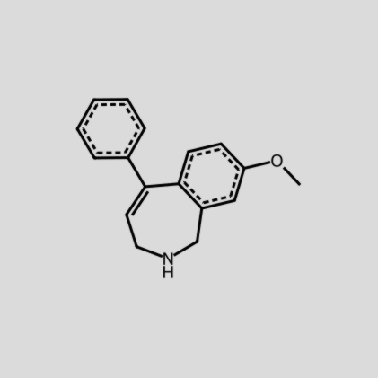 COc1ccc2c(c1)CNCC=C2c1ccccc1